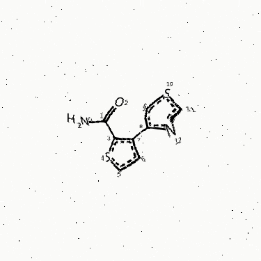 NC(=O)c1sccc1-c1cscn1